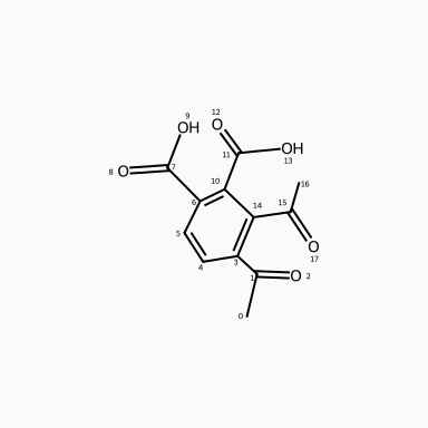 CC(=O)c1ccc(C(=O)O)c(C(=O)O)c1C(C)=O